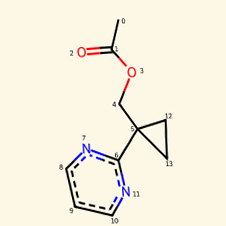 CC(=O)OCC1(c2ncccn2)CC1